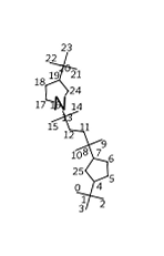 CC(C)(C)C1CCC(C(C)(C)CCC(C)(C)N2CCC(C(C)(C)C)C2)C1